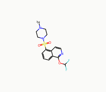 [2H]N1CCN(S(=O)(=O)c2cccc3c(OC(F)F)nccc23)CC1